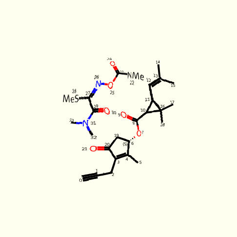 C#CCC1=C(C)[C@@H](OC(=O)C2C(C=C(C)C)C2(C)C)CC1=O.CNC(=O)ON=C(SC)C(=O)N(C)C